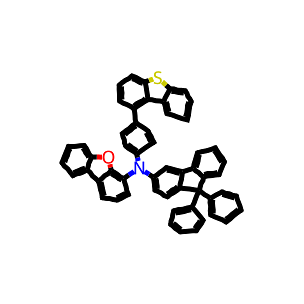 c1ccc(C2(c3ccccc3)c3ccccc3-c3cc(N(c4ccc(-c5cccc6sc7ccccc7c56)cc4)c4cccc5c4oc4ccccc45)ccc32)cc1